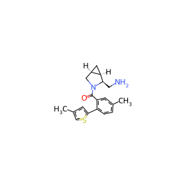 Cc1csc(-c2ccc(C)cc2C(=O)N2C[C@H]3C[C@H]3[C@H]2CN)c1